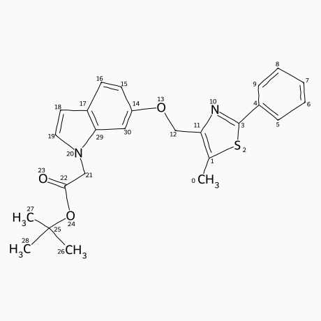 Cc1sc(-c2ccccc2)nc1COc1ccc2ccn(CC(=O)OC(C)(C)C)c2c1